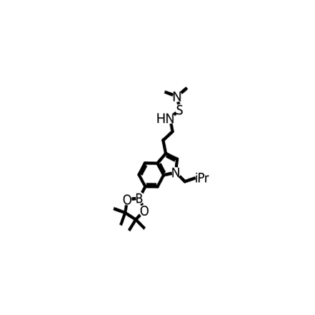 CC(C)Cn1cc(CCNSN(C)C)c2ccc(B3OC(C)(C)C(C)(C)O3)cc21